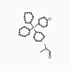 CN(C)C=O.[Cl-].c1ccc([P+](c2ccccc2)(c2ccccc2)c2ccccc2)cc1